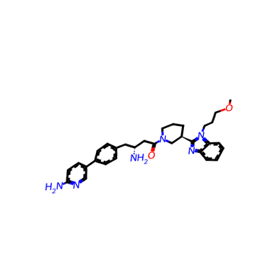 COCCCn1c([C@@H]2CCCN(C(=O)C[C@H](N)Cc3ccc(-c4ccc(N)nc4)cc3)C2)nc2ccccc21